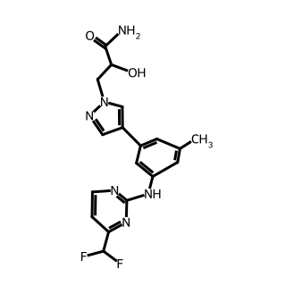 Cc1cc(Nc2nccc(C(F)F)n2)cc(-c2cnn(CC(O)C(N)=O)c2)c1